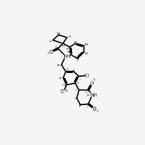 O=C1CCC(c2c(Cl)cc(CNC(=O)C3(c4ccccc4)CCC3)cc2Cl)C(=O)N1